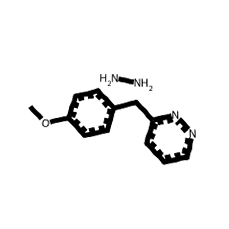 COc1ccc(Cc2cccnn2)cc1.NN